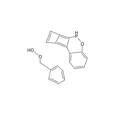 OOCc1ccccc1.c1ccc2c(c1)o[pH]c1c3ccc3c21